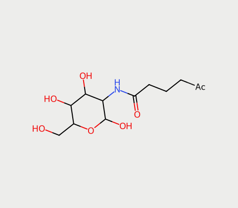 CC(=O)CCCC(=O)NC1C(O)OC(CO)C(O)C1O